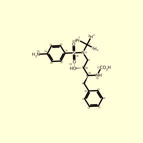 [2H]C([2H])(C(C)C)N(C[C@@H](O)[C@H](Cc1ccccc1)NC(=O)O)S(=O)(=O)c1ccc(N)cc1